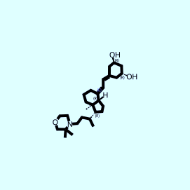 CC(CCN1CCOCC1(C)C)[C@H]1CC[C@H]2/C(=C/C=C3C[C@@H](O)C[C@H](O)C3)CCC[C@]12C